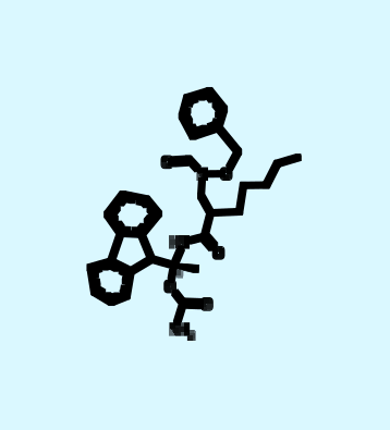 CCCCCC(CN(C=O)OCc1ccccc1)C(=O)N[C@](C)(OC(N)=O)C1c2ccccc2-c2ccccc21